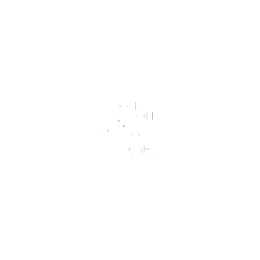 O.O=[N+]([O-])O.[CaH2]